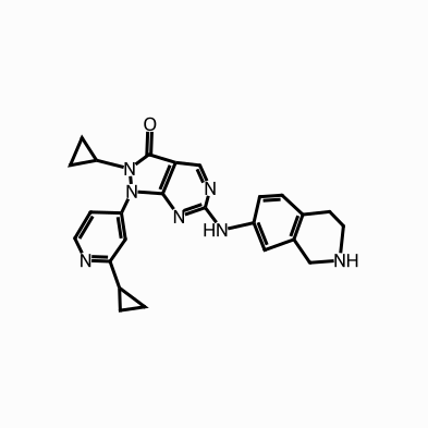 O=c1c2cnc(Nc3ccc4c(c3)CNCC4)nc2n(-c2ccnc(C3CC3)c2)n1C1CC1